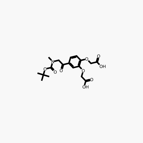 CN(CC(=O)c1ccc(OCC(=O)O)c(OCC(=O)O)c1)C(=O)OC(C)(C)C